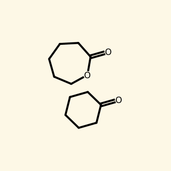 O=C1CCCCC1.O=C1CCCCCO1